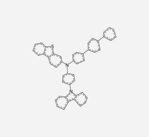 c1ccc(-c2ccc(-c3ccc(N(c4ccc(-n5c6ccccc6c6ccccc65)cc4)c4ccc5c(c4)sc4ccccc45)cc3)cc2)cc1